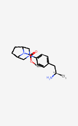 CC(C)(C)OC(=O)N1C2CCC1CN(c1ccc(C[C@H](N)C(F)(F)F)cc1)C2